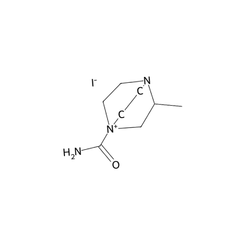 CC1C[N+]2(C(N)=O)CCN1CC2.[I-]